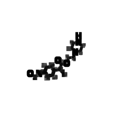 O=C(OCCN1CCNCC1)C(I)c1ccc([N+](=O)[O-])cc1